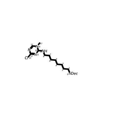 CCCCCCCCCCCCCCCCCCNC1N=C(Cl)N=CN1C